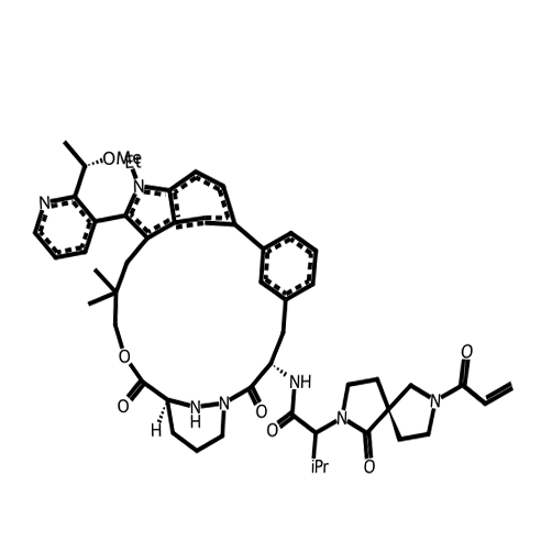 C=CC(=O)N1CC[C@@]2(CCN(C(C(=O)N[C@H]3Cc4cccc(c4)-c4ccc5c(c4)c(c(-c4cccnc4[C@H](C)OC)n5CC)CC(C)(C)COC(=O)[C@@H]4CCCN(N4)C3=O)C(C)C)C2=O)C1